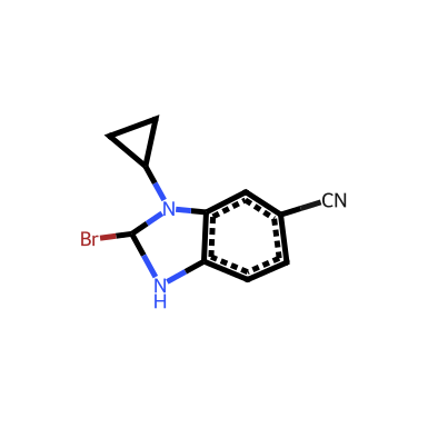 N#Cc1ccc2c(c1)N(C1CC1)C(Br)N2